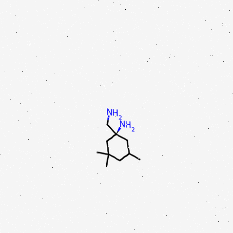 CC1CC(C)(C)C[C@](N)(CN)C1